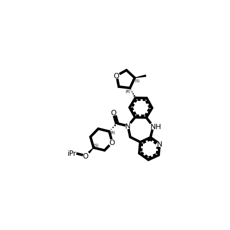 CC(C)O[C@H]1CC[C@H](C(=O)N2Cc3cccnc3Nc3ccc([C@@H]4COC[C@H]4C)cc32)OC1